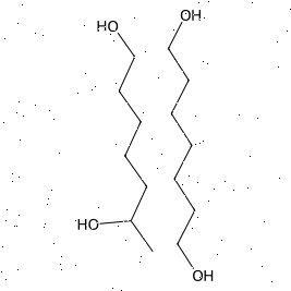 CC(O)CCCCCO.OCCCCCCCO